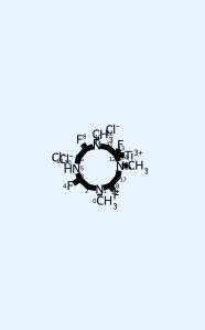 CN1CC(F)NCC(F)N(C)C[C](F)([Ti+3])N(C)CC1F.[Cl-].[Cl-].[Cl-]